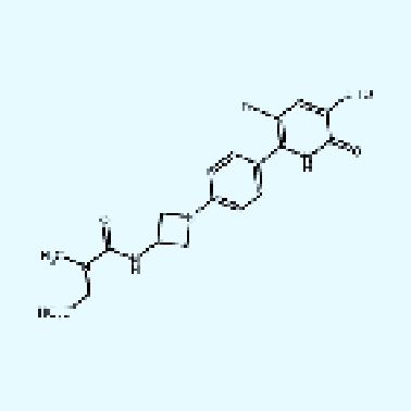 CCc1cc(C=O)c(=O)[nH]c1-c1ccc(N2CC(NC(=O)N(C)CC(=O)O)C2)cc1